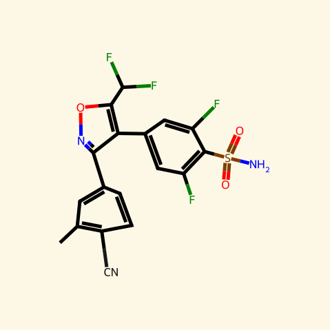 Cc1cc(-c2noc(C(F)F)c2-c2cc(F)c(S(N)(=O)=O)c(F)c2)ccc1C#N